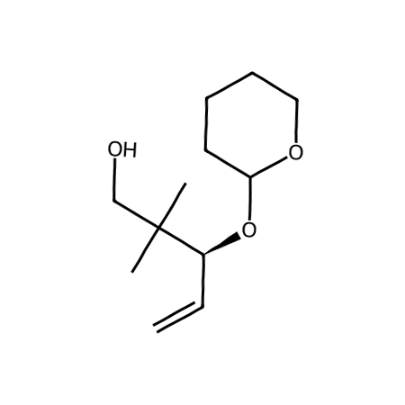 C=C[C@H](OC1CCCCO1)C(C)(C)CO